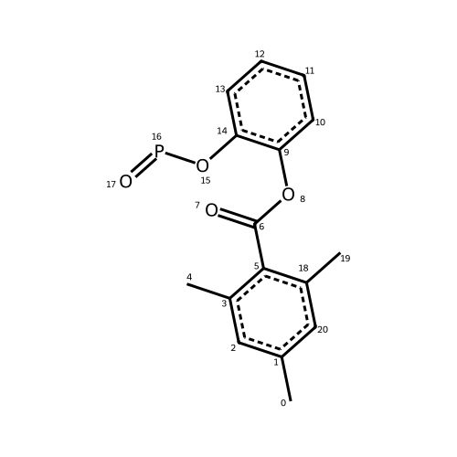 Cc1cc(C)c(C(=O)Oc2ccccc2OP=O)c(C)c1